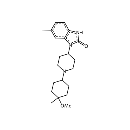 COC1(C)CCC(N2CCC(n3c(=O)[nH]c4ccc(C)cc43)CC2)CC1